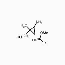 CC1(C)CC1N.CCC(=O)OC.Cl